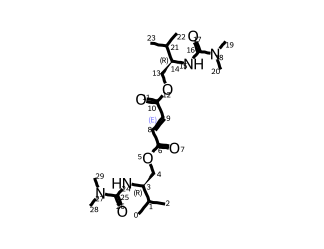 CC(C)[C@H](COC(=O)/C=C/C(=O)OC[C@H](NC(=O)N(C)C)C(C)C)NC(=O)N(C)C